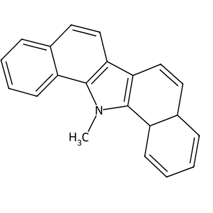 Cn1c2c(c3ccc4ccccc4c31)C=CC1C=CC=CC21